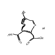 O=C(O)c1cc(Br)cnc1C(=O)O.[Ni]